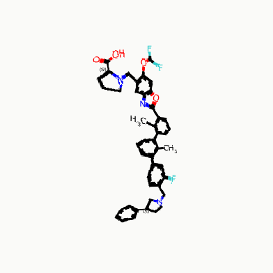 Cc1c(-c2ccc(CN3CC[C@@H](c4ccccc4)C3)c(F)c2)cccc1-c1cccc(-c2nc3cc(CN4CCC[C@H]4C(=O)O)c(OC(F)F)cc3o2)c1C